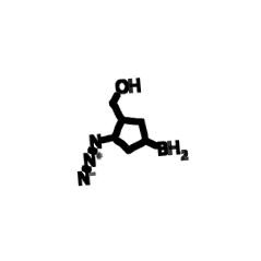 BC1CC(CO)C(N=[N+]=[N-])C1